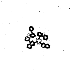 C1=CC2Oc3c(-c4ccccc4)cccc3C2C(c2cc(-c3nc(-c4ccc5ccccc5c4)nc(-c4cccc5oc6ccccc6c45)n3)cc3ccccc23)=C1